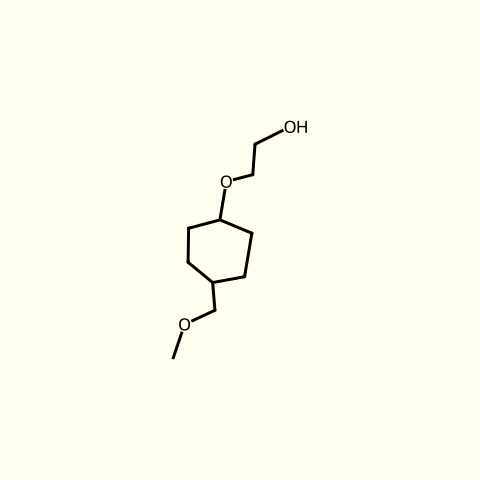 COCC1CCC(OCCO)CC1